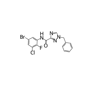 O=C(Nc1cc(Br)cc(Cl)c1F)c1ncn(Cc2ccccc2)n1